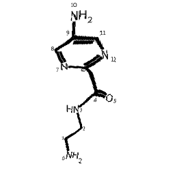 NCCNC(=O)c1ncc(N)cn1